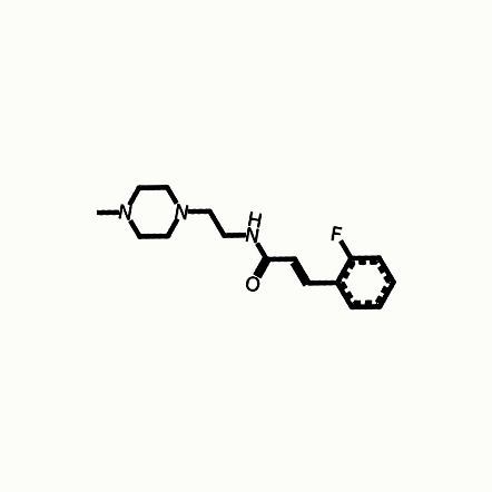 CN1CCN(CCNC(=O)C=Cc2ccccc2F)CC1